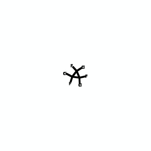 FC1(Cl)C(F)(Cl)C1(F)Cl